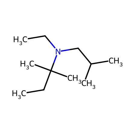 CCN(CC(C)C)C(C)(C)CC